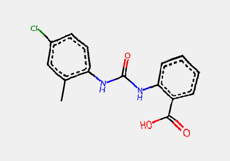 Cc1cc(Cl)ccc1NC(=O)Nc1ccccc1C(=O)O